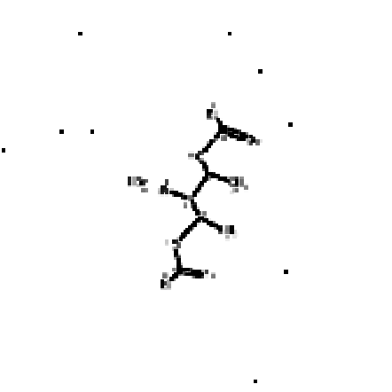 Br.CCCN(C(C)OC(=O)CC)C(C)OC(=O)CC